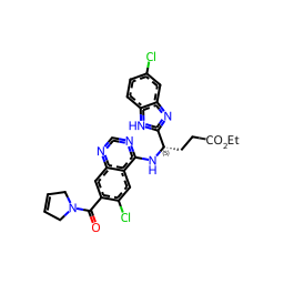 CCOC(=O)CC[C@H](Nc1ncnc2cc(C(=O)N3CC=CC3)c(Cl)cc12)c1nc2cc(Cl)ccc2[nH]1